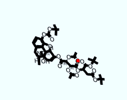 CC(=O)O[C@@H](C(=O)OC1=CC[C@@]2(O)[C@H]3Cc4ccc(OC(=O)OC(C)(C)C)c5c4[C@@]2(CCN3C)[C@H]1O5)[C@@H](OC(C)=O)C(=O)OC(CC(=O)OC(C)(C)C)C(=O)OC(C)(C)C